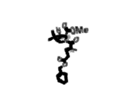 COC(=O)[C@@H]1[C@@H]2C(CN1C(=O)[C@@H](C)CCC(=O)OCc1ccccc1)C2(C)C